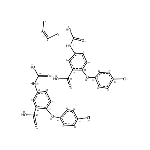 C/C=C\C.O=C(O)Nc1ccc(Oc2ccc(Cl)cc2)c(C(=O)O)c1.O=C(O)Nc1ccc(Oc2ccc(Cl)cc2)c(C(=O)O)c1